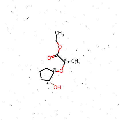 CCOC(=O)[C@H](C)O[C@@H]1CCC[C@H]1O